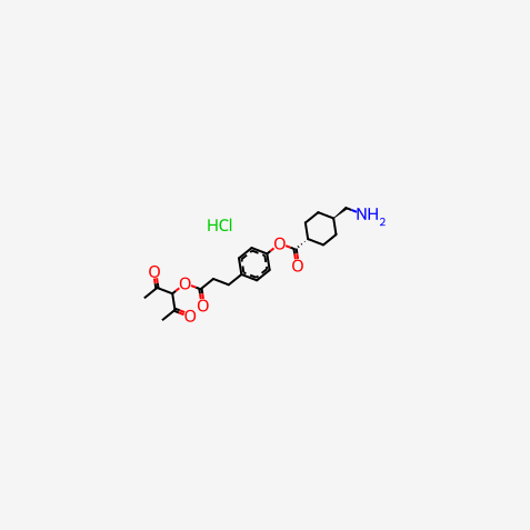 CC(=O)C(OC(=O)CCc1ccc(OC(=O)[C@H]2CC[C@H](CN)CC2)cc1)C(C)=O.Cl